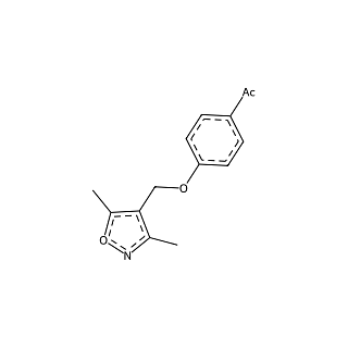 CC(=O)c1ccc(OCc2c(C)noc2C)cc1